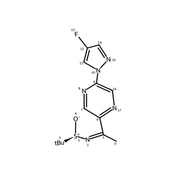 C/C(=N/[S@+]([O-])C(C)(C)C)c1cnc(-n2cc(F)cn2)cn1